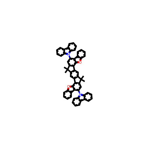 CC1(C)c2cc3c(cc2-c2c1cc(-n1c4ccccc4c4ccccc41)c1c2oc2ccccc21)C(C)(C)c1cc(-n2c4ccccc4c4ccccc42)c2c(oc4ccccc42)c1-3